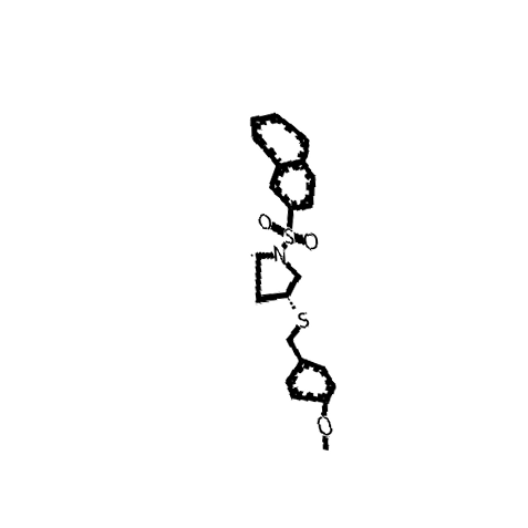 COc1ccc(CS[C@@H]2C[CH]N(S(=O)(=O)c3ccc4ccccc4c3)C2)cc1